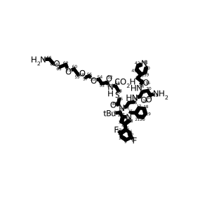 CC(C)(C)C(c1cc(-c2cc(F)ccc2F)cn1Cc1ccccc1)N(CCCNC(=O)C(CC(N)=O)NC(=O)Cc1ccncc1)C(=O)CSCC(NC(=O)CCOCCOCCOCCOCCN)C(=O)O